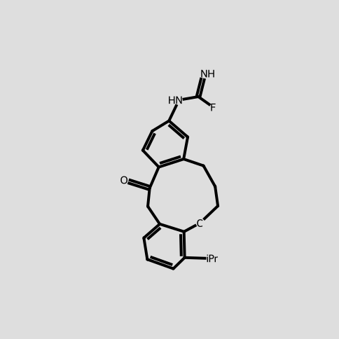 CC(C)c1cccc2c1CCCCc1cc(NC(=N)F)ccc1C(=O)C2